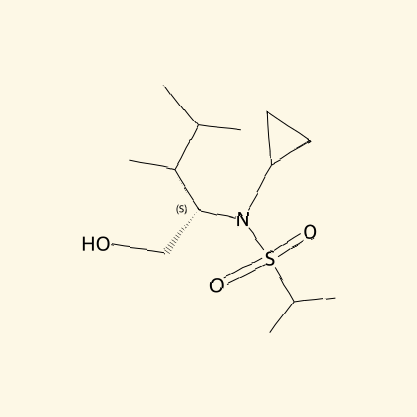 CC(C)C(C)[C@@H](CO)N(C1CC1)S(=O)(=O)C(C)C